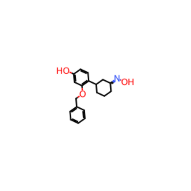 ON=C1CCCC(c2ccc(O)cc2OCc2ccccc2)C1